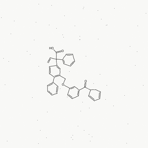 C=CC(C(=O)O)(c1ccccc1)c1ccc(-c2ccccc2)c(COc2cccc(C(=O)C3C=CC=CC3)c2)c1